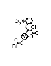 CCC(=O)Oc1ccc([C@H](Sc2ccccc2[N+](=O)[O-])[C@@H](O)C(=O)OC)cc1